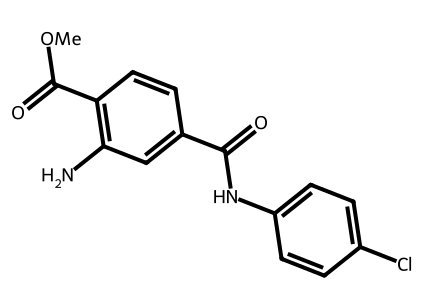 COC(=O)c1ccc(C(=O)Nc2ccc(Cl)cc2)cc1N